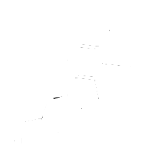 CCC(=O)O[C@@H]1CCc2c1ccc(C=O)c2C